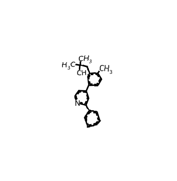 Cc1ccc(-c2ccnc(-c3ccccc3)c2)cc1CC(C)(C)C